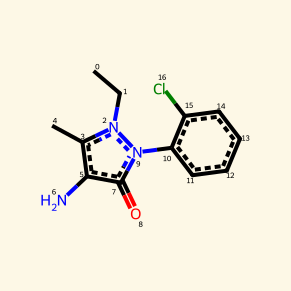 CCn1c(C)c(N)c(=O)n1-c1ccccc1Cl